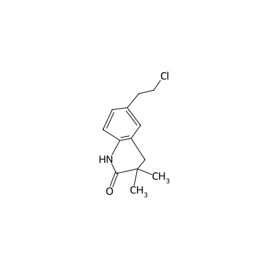 CC1(C)Cc2cc(CCCl)ccc2NC1=O